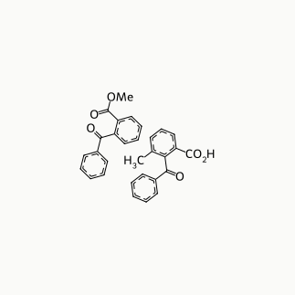 COC(=O)c1ccccc1C(=O)c1ccccc1.Cc1cccc(C(=O)O)c1C(=O)c1ccccc1